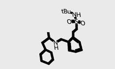 CC(CC1CCCCC1)NCc1ccccc1CCS(=O)(=O)NC(C)(C)C